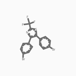 FC(F)(F)c1nc(-c2ccc(Br)cc2)c(-c2ccc(Br)cc2)s1